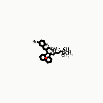 CSc1nc2ccc(Br)cc2cc1C(c1ccccc1)C(O)(CCCC[N+](C)(C)C)c1ccccc1